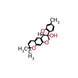 Cc1ccc2c(c1)O[C@H]1c3cc4c(cc3OC[C@@]21O)OC(C)(C)C=C4